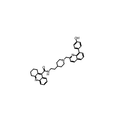 O=C(NCCC1CCN(Cc2ccc3cccc(-c4ccc(O)cc4)c3n2)CC1)c1c2c(nc3ccccc13)CCCC2